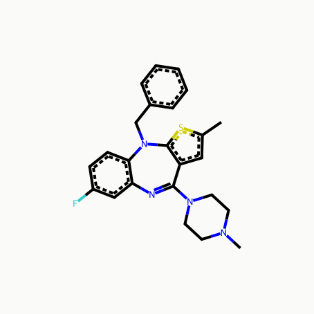 Cc1cc2c(s1)N(Cc1ccccc1)c1ccc(F)cc1N=C2N1CCN(C)CC1